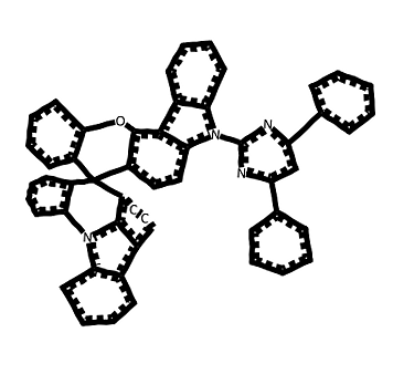 c1ccc(-c2cc(-c3ccccc3)nc(-n3c4ccccc4c4c5c(ccc43)C3(c4ccccc4O5)c4ccccc4-n4c5ccccc5c5cccc3c54)n2)cc1